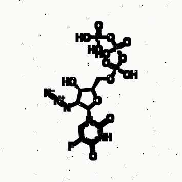 [N-]=[N+]=NC1[C@H](n2cc(F)c(=O)[nH]c2=O)O[C@H](COP(=O)(O)OP(=O)(O)OP(=O)(O)O)[C@H]1O